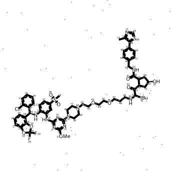 COc1nc(Nc2cc(S(C)(=O)=O)ccc2N[C@H](c2ccccc2Cl)c2cccc3c2OC(F)(F)O3)nc(N2CCN(CCOCCOCCCNC(C(=O)C3C[C@H](O)CC3C(=O)NCc3ccc(-c4scnc4C)cc3)C(C)(C)C)CC2)n1